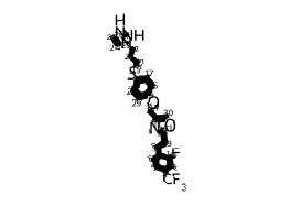 Fc1cc(C(F)(F)F)ccc1/C=C/c1nc(COc2ccc(SCCCN3C=CNN3)cc2)co1